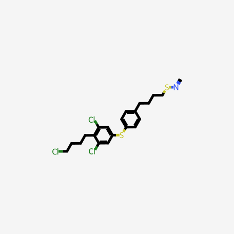 C=NSCCCCc1ccc(Sc2cc(Cl)c(CCCCCl)c(Cl)c2)cc1